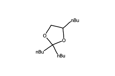 CCCCC1COC(CCCC)(CCCC)O1